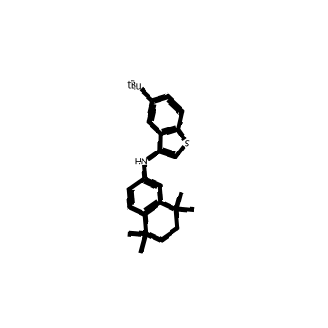 CC(C)(C)c1ccc2scc(Nc3ccc4c(c3)C(C)(C)CCC4(C)C)c2c1